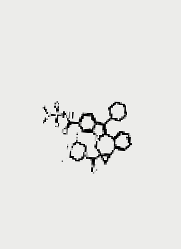 C[C@@H]1CN(C(=O)C23CC2c2ccccc2-c2c(C4CCCCC4)c4ccc(C(=O)NS(=O)(=O)N(C)C)cc4n2C3)C[C@H](C)O1